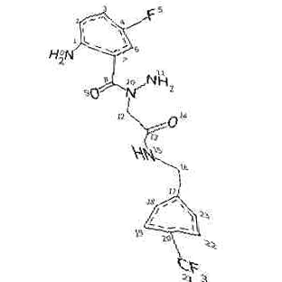 Nc1ccc(F)cc1C(=O)N(N)CC(=O)NCc1ccc(C(F)(F)F)cc1